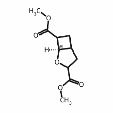 COC(=O)C1CC2CC(C(=O)OC)[C@@H]2O1